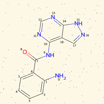 Nc1ccccc1C(=O)Nc1ncnc2[nH]ncc12